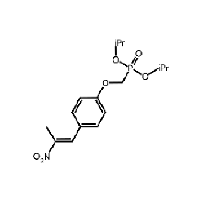 CC(=Cc1ccc(OCP(=O)(OC(C)C)OC(C)C)cc1)[N+](=O)[O-]